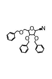 N#CC1OC(COCc2ccccc2)C(OCc2ccccc2)C1OCc1ccccc1